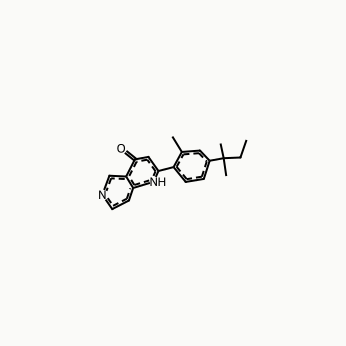 CCC(C)(C)c1ccc(-c2cc(=O)c3cnccc3[nH]2)c(C)c1